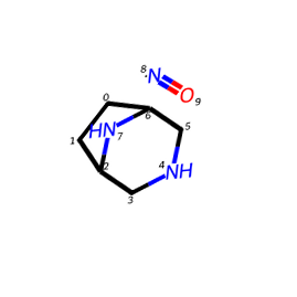 C1CC2CNCC1N2.[N]=O